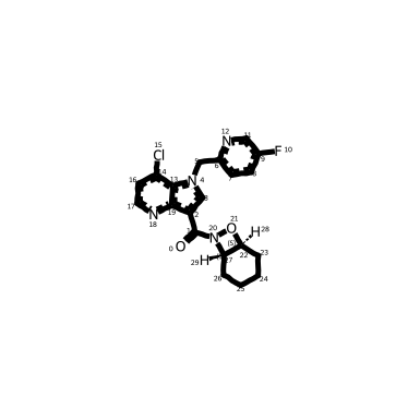 O=C(c1cn(Cc2ccc(F)cn2)c2c(Cl)ccnc12)N1O[C@H]2CCCC[C@@H]21